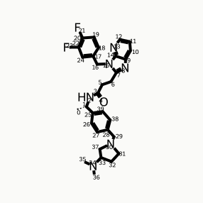 C[C@H](NC(=O)CCc1nc2cccnc2n1Cc1ccc(F)c(F)c1)c1ccc(CN2CCC(N(C)C)C2)cc1